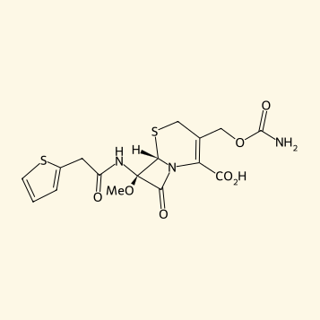 CO[C@]1(NC(=O)Cc2cccs2)C(=O)N2C(C(=O)O)=C(COC(N)=O)CS[C@H]21